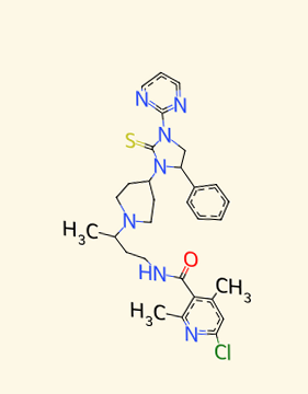 Cc1cc(Cl)nc(C)c1C(=O)NCCC(C)N1CCC(N2C(=S)N(c3ncccn3)CC2c2ccccc2)CC1